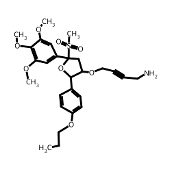 CCCOc1ccc(C2OC(c3cc(OC)c(OC)c(OC)c3)(S(C)(=O)=O)CC2OCC#CCN)cc1